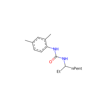 CCCCCC(CC)NC(=O)Nc1ccc(C)cc1C